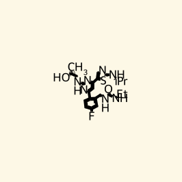 CCNC(=O)NCc1cc(F)ccc1-c1cc(-c2cnc(NC(C)C)s2)nc(NC[C@@H](C)O)n1